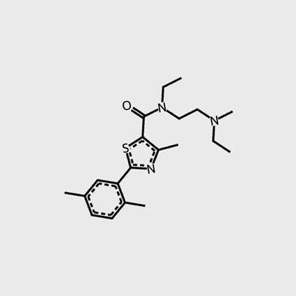 CCN(C)CCN(CC)C(=O)c1sc(-c2cc(C)ccc2C)nc1C